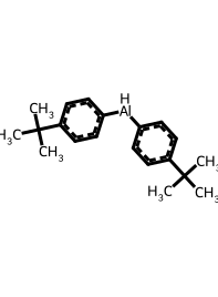 CC(C)(C)c1cc[c]([AlH][c]2ccc(C(C)(C)C)cc2)cc1